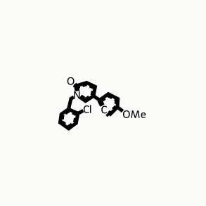 COc1ccc(-c2ccc(=O)n(Cc3ccccc3Cl)c2)cc1